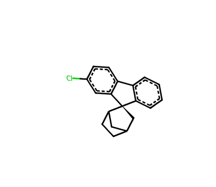 Clc1ccc2c(c1)[C@]1(CC3CCC1C3)c1ccccc1-2